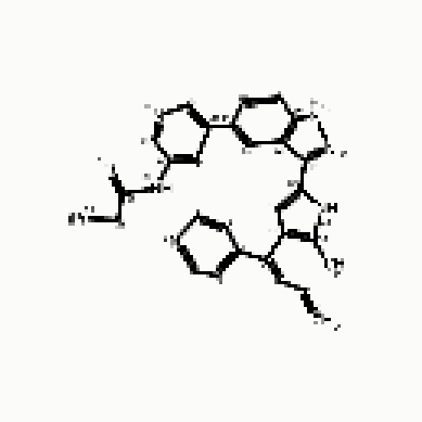 C=C/C=C(/c1ccncc1)c1cc(-c2n[nH]c3ccc(-c4cncc(NC(=O)CC(C)C)c4)cc23)[nH]c1C